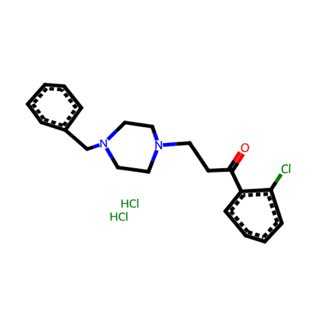 Cl.Cl.O=C(CCN1CCN(Cc2ccccc2)CC1)c1ccccc1Cl